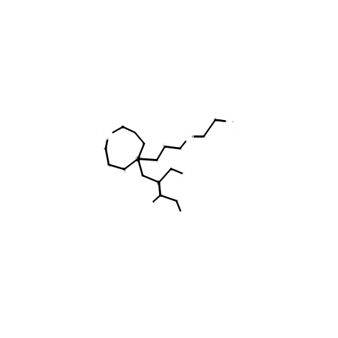 CCC(O)C(CC)CC1(CCCOCCO)CCCOCCC1